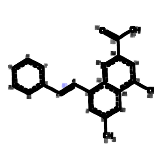 Cc1cc(/C=C/c2ccccc2)c2nc(C(=O)O)cc(Cl)c2c1